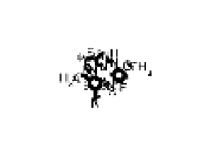 COc1cc(F)c([N+](=O)[O-])cc1Nc1ncc(C(F)(F)F)c(-n2nc(C)c3cc(C#N)ccc32)n1